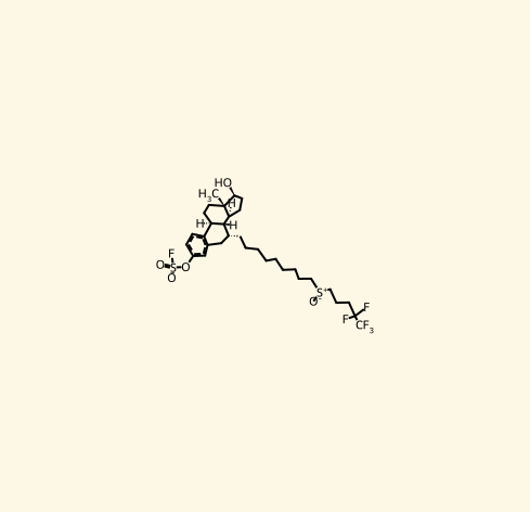 C[C@]12CC[C@@H]3c4ccc(OS(=O)(=O)F)cc4C[C@@H](CCCCCCCCC[S+]([O-])CCCC(F)(F)C(F)(F)F)[C@H]3[C@@H]1CC[C@@H]2O